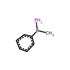 CB(P)c1ccccc1